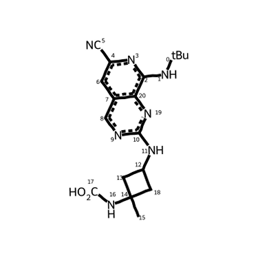 CC(C)(C)Nc1nc(C#N)cc2cnc(NC3CC(C)(NC(=O)O)C3)nc12